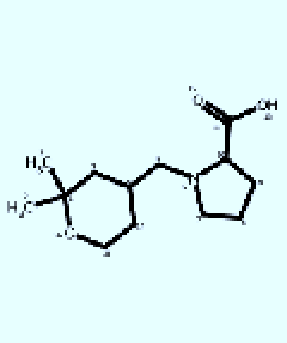 CC1(C)CC(CN2CCCC2C(=O)O)CCO1